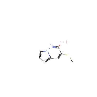 CSc1cc2cccn2nc1O